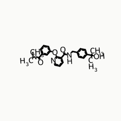 CN(C)C(=O)c1cccc(Oc2ncccc2C(=O)NCc2ccc(C(C)(C)O)cc2)c1